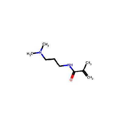 C=C(C)C(=O)N[CH]CCN(C)C